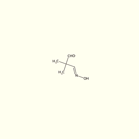 CC(C)([C]=O)/C=N/O